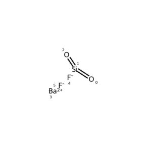 O=[Si]=O.[Ba+2].[F-].[F-]